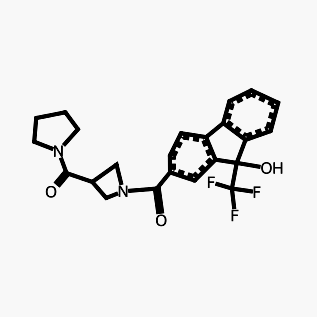 O=C(c1ccc2c(c1)C(O)(C(F)(F)F)c1ccccc1-2)N1CC(C(=O)N2CCCC2)C1